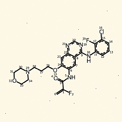 C=C(F)C(=O)Nc1cc2c(Nc3cccc(Cl)c3F)ncnc2cc1OCCCN1CCOCC1